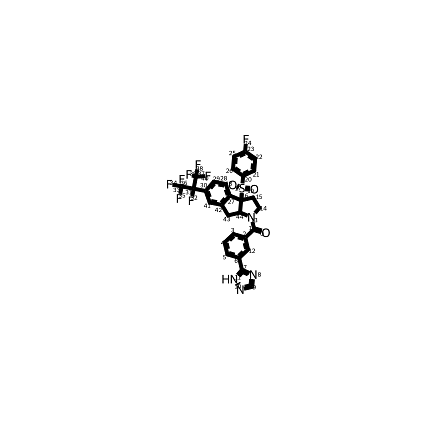 O=C(c1cccc(-c2ncn[nH]2)c1)N1CCC2(S(=O)(=O)c3ccc(F)cc3)c3ccc(C(F)(C(F)(F)F)C(F)(F)F)cc3CC12